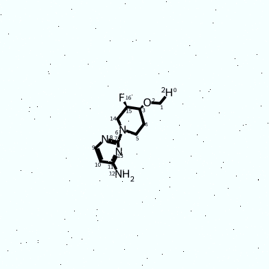 [2H]CO[C@H]1CCN(c2nccc(N)n2)C[C@H]1F